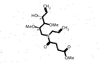 C=CCN(C[C@@H](OC)C(OC)[C@H](O)C=C)C(=O)CCC(=O)OC